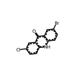 O=c1c2cc(Cl)ccc2[nH]c2ccc(Br)cc12